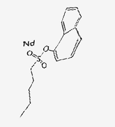 CCCCCS(=O)(=O)Oc1cccc2ccccc12.[Nd]